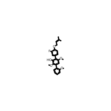 COc1ccccc1-c1cc(OC)c(-c2ccc(OCC=C(C)C)c(F)c2)c(O)c1OC